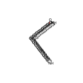 C.C.C.C.C.C.C.C.C.C.C.C.C.C.C.C.C.C.C.C.C.C.C.C.C.C.C.C.C.C.C.C.C.C.C.C.C.C.C.C.C.C.C.C.N=C=O.N=C=O